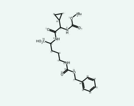 CC(C)(C)OC(=O)NC(C(=O)NC(CCCNC(=O)OCc1ccccc1)C(=O)O)C1CC1